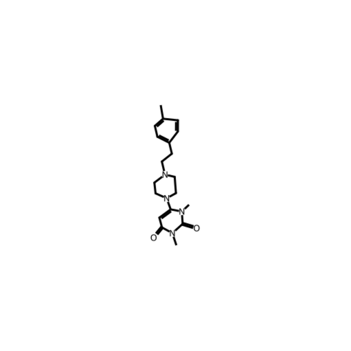 Cc1ccc(CCN2CCN(c3cc(=O)n(C)c(=O)n3C)CC2)cc1